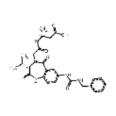 CC(C)[C@H]1C(=O)Nc2ccc(NC(=O)NCc3ccccc3)cc2C(=O)N1CC(=O)N[C@H](C)CC(=O)O